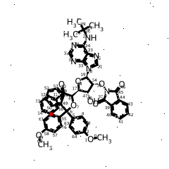 COc1ccc(C(OC(C(=O)c2ccccc2)[C@H]2O[C@@H](n3cnc4c(NC(C)(C)C)ncnc43)[C@H](ON3C(=O)c4ccccc4C3=O)[C@@H]2O)(c2ccccc2)c2ccc(OC)cc2)cc1